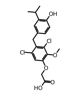 COc1c(OCC(=O)O)cc(Cl)c(Cc2ccc(O)c(C(C)C)c2)c1Cl